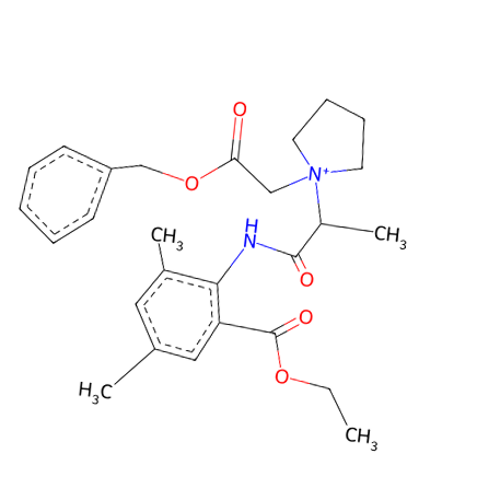 CCOC(=O)c1cc(C)cc(C)c1NC(=O)C(C)[N+]1(CC(=O)OCc2ccccc2)CCCC1